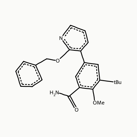 COc1c(C(N)=O)cc(-c2cccnc2OCc2ccccc2)cc1C(C)(C)C